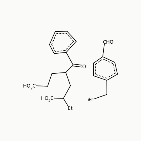 CC(C)Cc1ccc(C=O)cc1.CCC(CC(CCC(=O)O)C(=O)c1ccccc1)C(=O)O